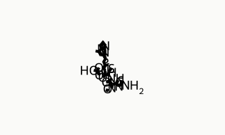 CO/N=C(\C(=O)N[C@@H]1C(=O)N2C(OC(=O)O)=C(CSc3cc(C)n4ccnc4n3)CS[C@@H]12)c1csc(N)n1